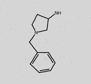 [NH]C1CCN(Cc2ccccc2)C1